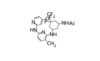 CC(=O)NC1CC(Nc2nc(Nc3cc(OC(F)(F)F)ccn3)ccc2C)CC(F)(F)C1